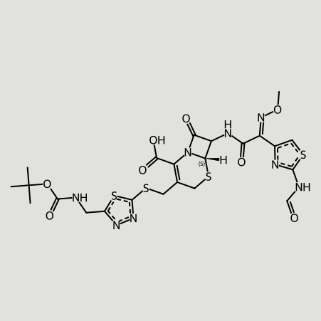 CON=C(C(=O)NC1C(=O)N2C(C(=O)O)=C(CSc3nnc(CNC(=O)OC(C)(C)C)s3)CS[C@@H]12)c1csc(NC=O)n1